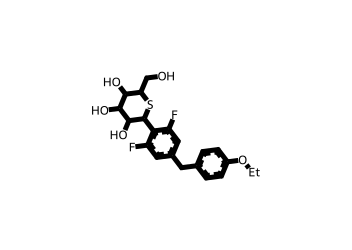 CCOc1ccc(Cc2cc(F)c(C3SC(CO)C(O)C(O)C3O)c(F)c2)cc1